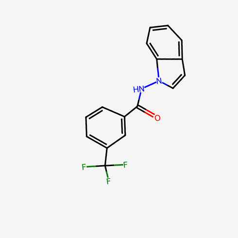 O=C(Nn1ccc2ccccc21)c1cccc(C(F)(F)F)c1